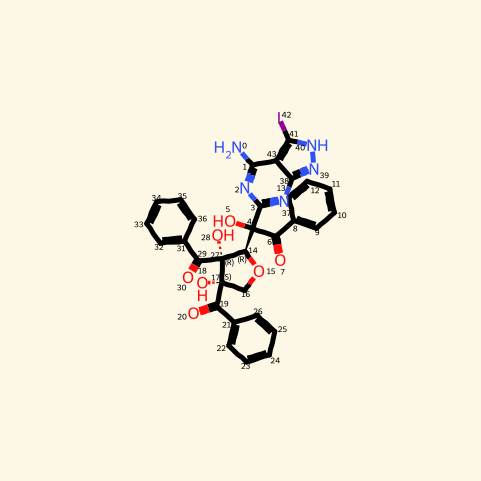 Nc1nc(C(O)(C(=O)c2ccccc2)[C@H]2OC[C@@](O)(C(=O)c3ccccc3)[C@@]2(O)C(=O)c2ccccc2)nc2n[nH]c(I)c12